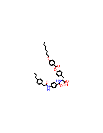 CCCCCCCOc1ccc(C(=O)Oc2ccc(C[C@H](NC(=O)c3ccc(NC(=O)Cc4ccc(CCC)cc4)cc3)C(=O)O)cc2)cc1